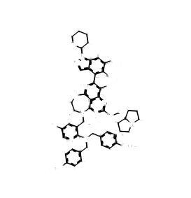 COc1ccc(CN(Cc2ccc(OC)cc2)c2ncc(F)cc2[C@@H](C)N2c3nc(OC[C@@]45CCCN4C[C@H](F)C5)nc4c(F)c(-c5c(C(F)(F)F)c(C)cc6c5cnn6C5CCCCO5)nc(c34)OC[C@@H]2C)cc1